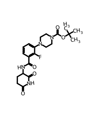 CC(C)(C)OC(=O)N1CCN(c2cccc(C(=O)NC3CCC(=O)NC3=O)c2F)CC1